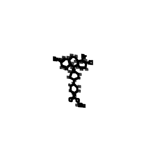 CC(C)(C)OC(=O)N1CCC(C2CCN(C3c4ccc(Cl)c(Br)c4CCc4cc(Br)cnc43)CC2)CC1